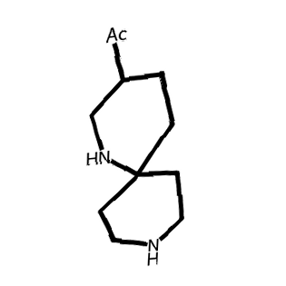 CC(=O)C1CCC2(CCNCC2)NC1